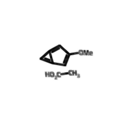 CC(=O)O.COc1cc2cc-2c1